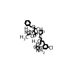 CC(OCc1ccccc1)[C@H](NC(=O)[C@H](C)N)C(=O)N1CCC[C@H]1/C=C/[C@](C)(COS(N)(=O)=O)Cc1cccc(Cl)c1